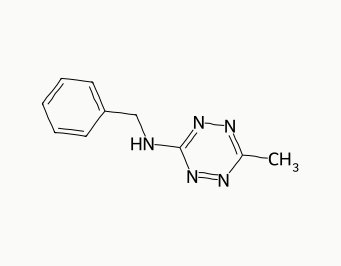 Cc1nnc(NCc2ccccc2)nn1